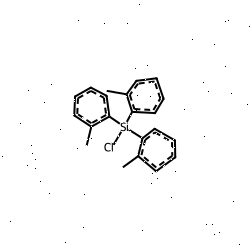 Cc1ccccc1[Si](Cl)(c1ccccc1C)c1ccccc1C